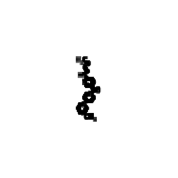 COCCNc1ccc(C(=O)N2CCC(N3CCC[C@@H](C)C3)CC2)cn1